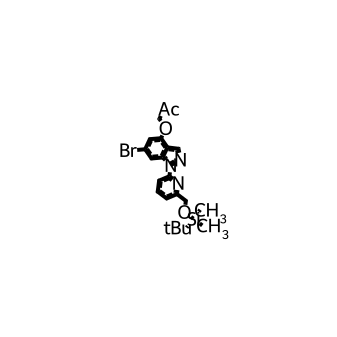 CC(=O)COc1cc(Br)cc2c1cnn2-c1cccc(CO[Si](C)(C)C(C)(C)C)n1